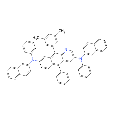 Cc1cc(C)cc(-c2c3cc(N(c4ccccc4)c4ccc5ccccc5c4)ccc3c(-c3ccccc3)c3cc(N(c4ccccc4)c4ccc5ccccc5c4)cnc23)c1